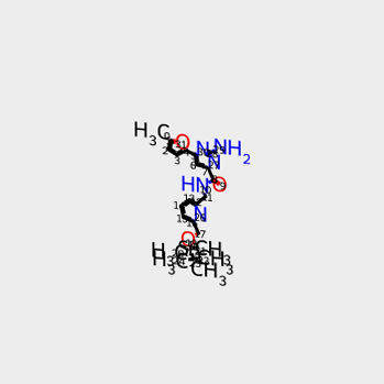 Cc1ccc(-c2cc(C(=O)NCc3cccc(CO[Si](C)(C)C(C)(C)C)n3)nc(N)n2)o1